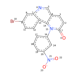 O=c1ccc2cnc3cc(Br)ccc3c2n1-c1cccc([N+](=O)[O-])c1